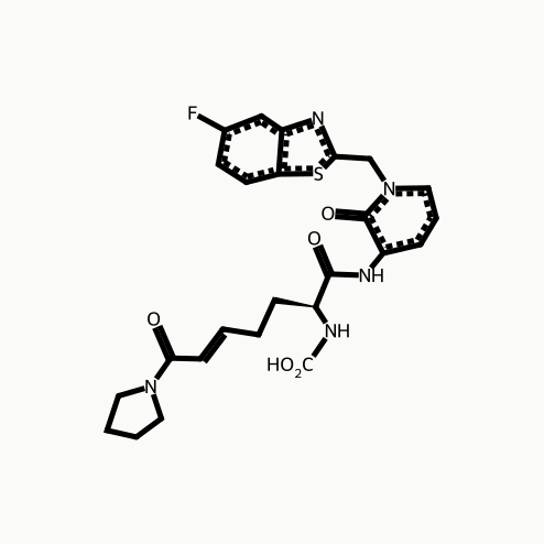 O=C(O)N[C@@H](CC/C=C/C(=O)N1CCCC1)C(=O)Nc1cccn(Cc2nc3cc(F)ccc3s2)c1=O